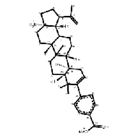 C=C(C)[C@@H]1CC[C@]2(N)CC[C@]3(C)C(CC[C@H]4C3(C)CC[C@H]3C(C)(C)C(c5ccc(C(=O)OC)cc5)=CC[C@@]34C)[C@@H]12